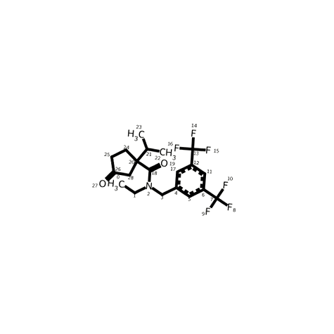 CCN(Cc1cc(C(F)(F)F)cc(C(F)(F)F)c1)C(=O)C1(C(C)C)CCC(=O)C1